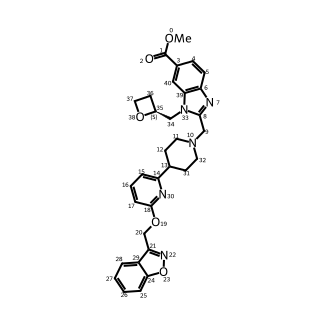 COC(=O)c1ccc2nc(CN3CCC(c4cccc(OCc5noc6ccccc56)n4)CC3)n(C[C@@H]3CCO3)c2c1